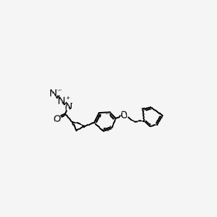 [N-]=[N+]=NC(=O)C1CC1c1ccc(OCc2ccccc2)cc1